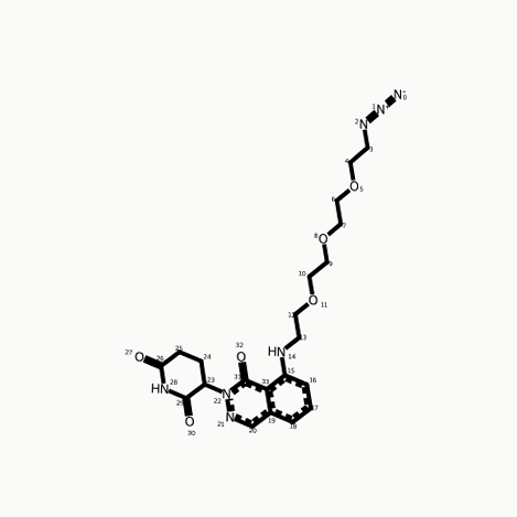 [N-]=[N+]=NCCOCCOCCOCCNc1cccc2cnn(C3CCC(=O)NC3=O)c(=O)c12